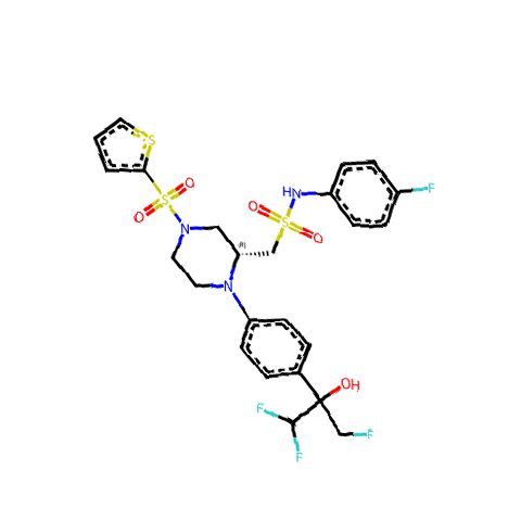 O=S(=O)(C[C@H]1CN(S(=O)(=O)c2cccs2)CCN1c1ccc(C(O)(CF)C(F)F)cc1)Nc1ccc(F)cc1